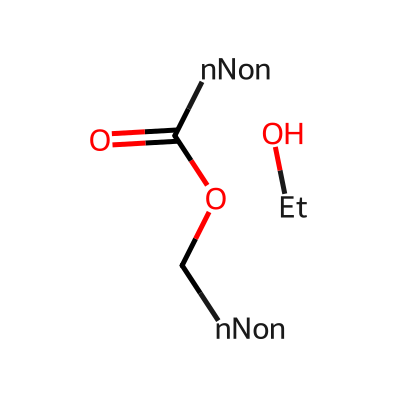 CCCCCCCCCCOC(=O)CCCCCCCCC.CCO